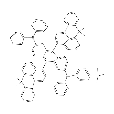 CC(C)(C)c1ccc(N(c2ccccc2)c2ccc3c(-c4ccc5c6c(cccc46)C(C)(C)c4ccccc4-5)c4cc(N(c5ccccc5)c5ccccc5)ccc4c(-c4ccc5c6c(cccc46)C(C)(C)c4ccccc4-5)c3c2)cc1